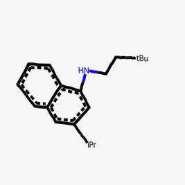 CC(C)c1cc(NCCC(C)(C)C)c2ccccc2c1